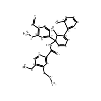 COCc1cc(C(=O)NC2(c3ccc(C=O)c(OC)n3)C=CC=C(c3ccccc3Cl)C2Cl)ncc1CO